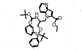 CCOC(=O)c1cc2ncccc2n1CC(CO[Si](c1ccccc1)(c1ccccc1)C(C)(C)C)NC(=O)OC(C)(C)C